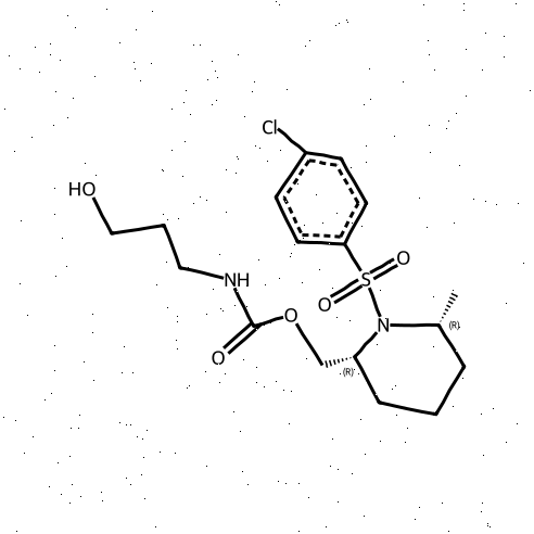 C[C@@H]1CCC[C@H](COC(=O)NCCCO)N1S(=O)(=O)c1ccc(Cl)cc1